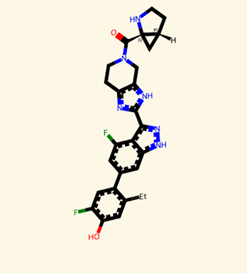 CCc1cc(O)c(F)cc1-c1cc(F)c2c(-c3nc4c([nH]3)CN(C(=O)[C@]35C[C@H]3CCN5)CC4)n[nH]c2c1